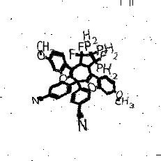 COc1ccc2c3c(oc2c1)C(c1ccc(C#N)cc1)(c1ccc(C#N)cc1)c1oc2cc(OC)ccc2c1C1C3C(F)(F)C(P)(P)C1(F)P